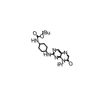 CC(C)n1c(=O)cnc2cnc(NC3CCC(NC(=O)OC(C)(C)C)CC3)nc21